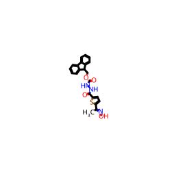 C/C(=N\O)c1ccc(C(=O)NNC(=O)OCC2c3ccccc3-c3ccccc32)s1